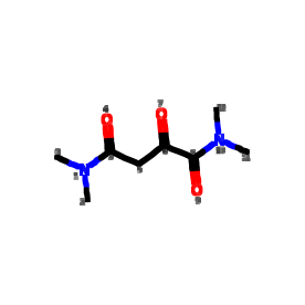 CN(C)C(=O)CC(=O)C(=O)N(C)C